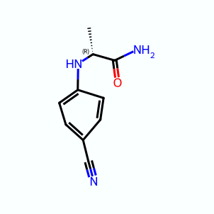 C[C@@H](Nc1ccc(C#N)cc1)C(N)=O